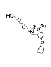 CC(C)(C)OC(=O)N(CCOCCOCCO)Cc1cccc(OCc2ccccc2)c1